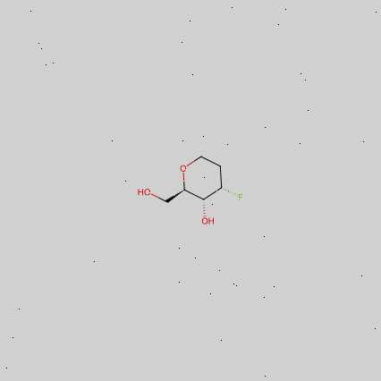 OC[C@H]1OCC[C@H](F)[C@@H]1O